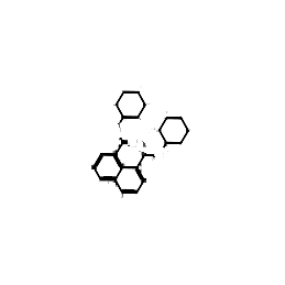 O=C(OC1CCCCC1)c1cccc2cccc(C(=O)OC3CCCCC3)c12